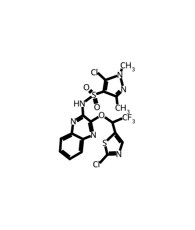 Cc1nn(C)c(Cl)c1S(=O)(=O)Nc1nc2ccccc2nc1OC(c1cnc(Cl)s1)C(F)(F)F